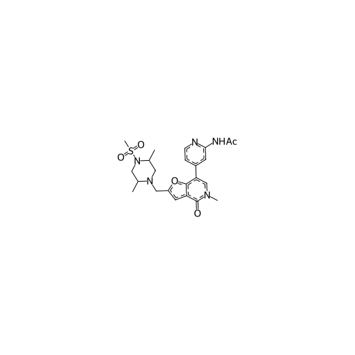 CC(=O)Nc1cc(-c2cn(C)c(=O)c3cc(CN4CC(C)N(S(C)(=O)=O)CC4C)oc23)ccn1